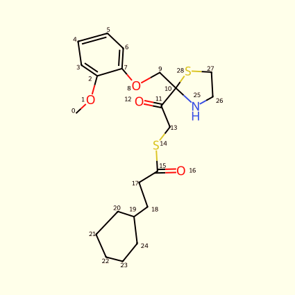 COc1ccccc1OCC1(C(=O)CSC(=O)CCC2CCCCC2)NCCS1